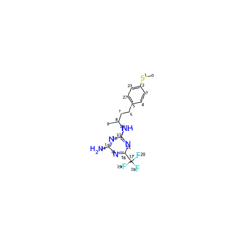 CSc1ccc(CCC(C)Nc2nc(N)nc(C(F)(F)F)n2)cc1